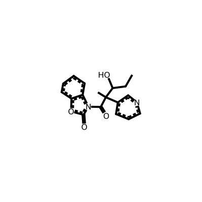 CCC(O)C(C)(C(=O)n1c(=O)oc2ccccc21)c1cccnc1